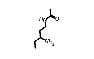 CCC(N)CCNC(C)=O